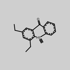 C#[SH]1c2ccccc2C(=O)c2cc(CC)cc(CC)c21